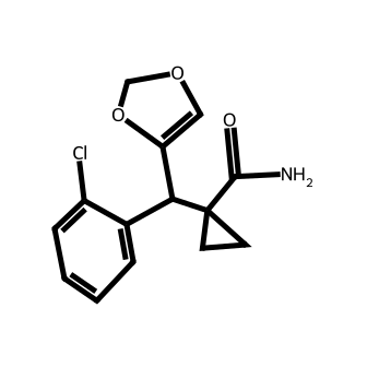 NC(=O)C1(C(C2=COCO2)c2ccccc2Cl)CC1